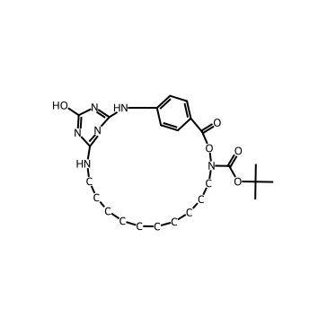 CC(C)(C)OC(=O)N1CCCCCCCCCCNc2nc(O)nc(n2)Nc2ccc(cc2)C(=O)O1